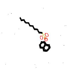 CCCCCCCCCCCS(=O)(=O)Oc1cccc2ccccc12